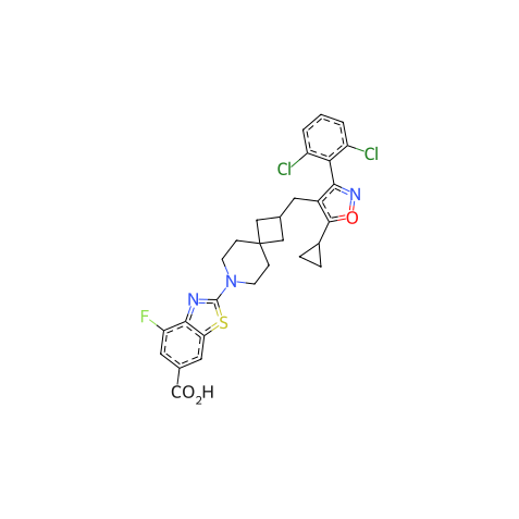 O=C(O)c1cc(F)c2nc(N3CCC4(CC3)CC(Cc3c(-c5c(Cl)cccc5Cl)noc3C3CC3)C4)sc2c1